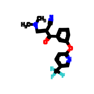 CN(C)C=C(C#N)C(=O)c1cccc(Oc2ccc(C(F)(F)F)cn2)c1